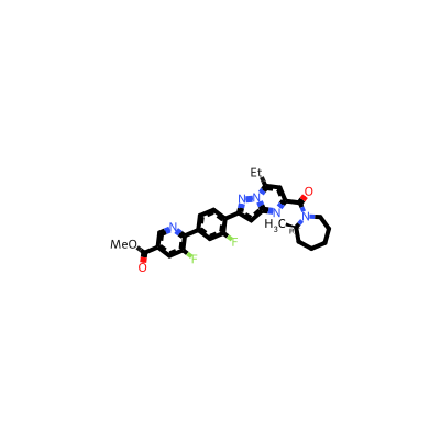 CCc1cc(C(=O)N2CCCCC[C@H]2C)nc2cc(-c3ccc(-c4ncc(C(=O)OC)cc4F)cc3F)nn12